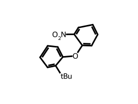 CC(C)(C)c1ccccc1Oc1ccccc1[N+](=O)[O-]